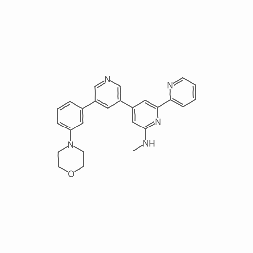 CNc1cc(-c2cncc(-c3cccc(N4CCOCC4)c3)c2)cc(-c2ccccn2)n1